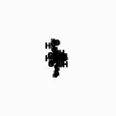 CCCCCC(O)[C@H]1C(=O)N[C@](C(=O)SCCNC(C)=O)([C@@H](O)[C@@H]2C=CCCC2)[C@@]1(C)O